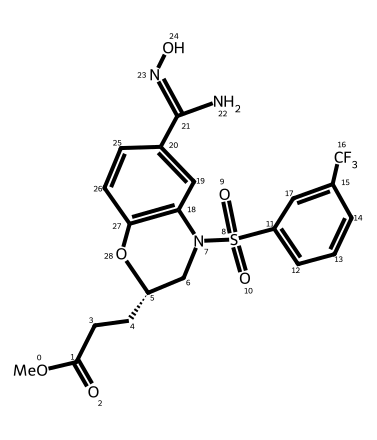 COC(=O)CC[C@H]1CN(S(=O)(=O)c2cccc(C(F)(F)F)c2)c2cc(/C(N)=N/O)ccc2O1